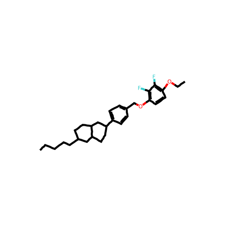 CCCCCC1CCC2CC(c3ccc(COc4ccc(OCC)c(F)c4F)cc3)CCC2C1